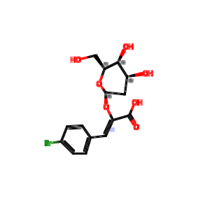 O=C(O)/C(=C/c1ccc(Br)cc1)O[C@@H]1C[C@H](O)[C@H](O)[C@H](CO)O1